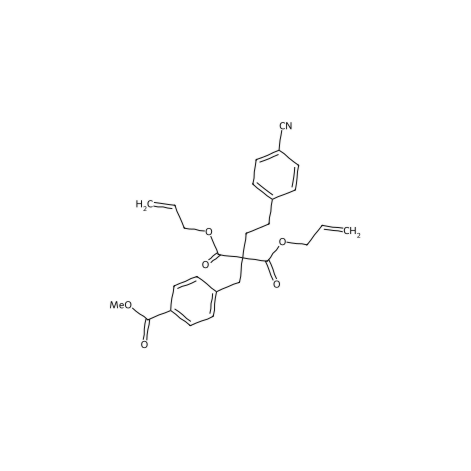 C=CCOC(=O)C(CCc1ccc(C#N)cc1)(Cc1ccc(C(=O)OC)cc1)C(=O)OCC=C